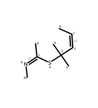 C/C=C\C(C)(C)S/C(C)=N\C